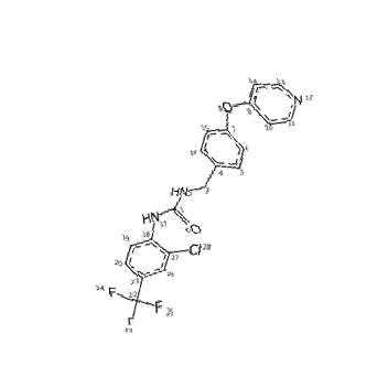 O=C(NCc1ccc(Oc2ccncc2)cc1)Nc1ccc(C(F)(F)F)cc1Cl